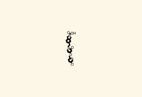 O=C(O)N1Cc2ccc(CCn3ccc(OCc4ccc(Cl)cn4)cc3=O)cc2C1